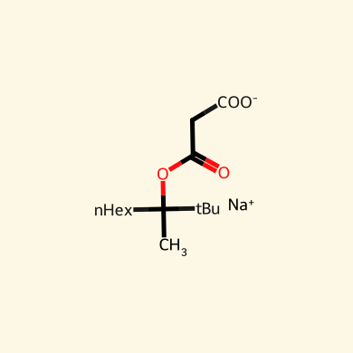 CCCCCCC(C)(OC(=O)CC(=O)[O-])C(C)(C)C.[Na+]